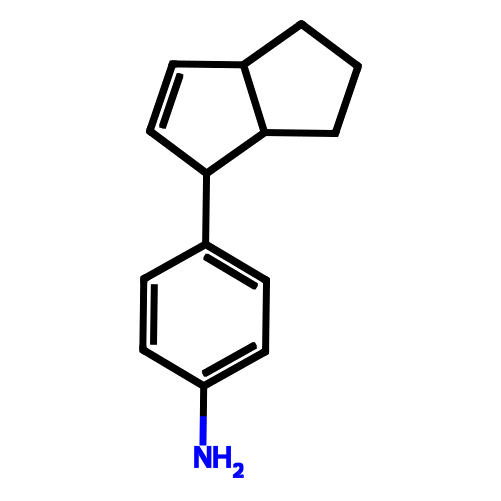 Nc1ccc(C2C=CC3CCCC32)cc1